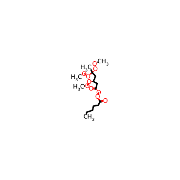 CCCCCC(=O)OOC(=O)CC(CC(C)(OOC)OOC)OOC